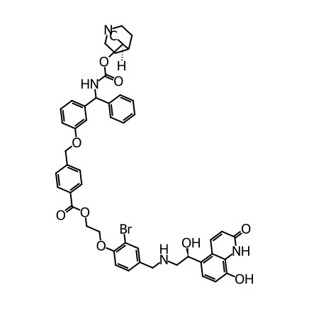 O=C(NC(c1ccccc1)c1cccc(OCc2ccc(C(=O)OCCOc3ccc(CNC[C@@H](O)c4ccc(O)c5[nH]c(=O)ccc45)cc3Br)cc2)c1)O[C@H]1CN2CCC1CC2